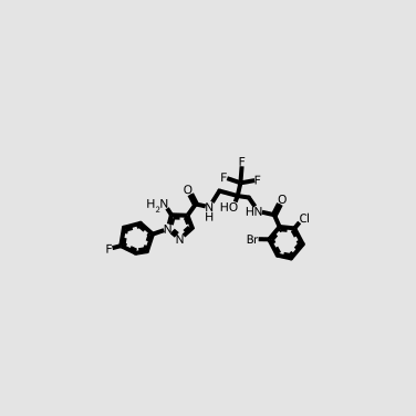 Nc1c(C(=O)NCC(O)(CNC(=O)c2c(Cl)cccc2Br)C(F)(F)F)cnn1-c1ccc(F)cc1